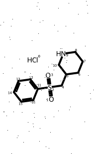 Cl.O=S(=O)(CC1CCCNC1)c1ccccc1